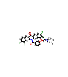 CN(C)CCOc1cccc(C(=O)N2CC(=Cc3ccc(F)c(F)c3)C(=O)C(=Cc3ccc(F)c(F)c3)C2)c1